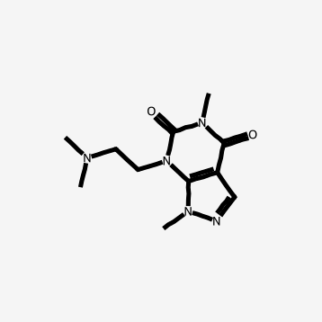 CN(C)CCn1c(=O)n(C)c(=O)c2cnn(C)c21